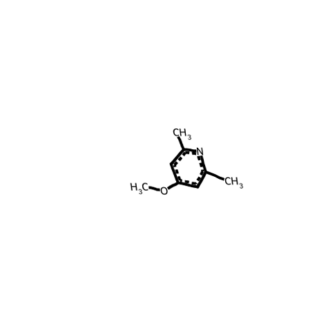 COc1cc(C)nc(C)c1